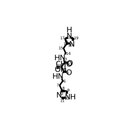 O=C(CC(=O)NCCc1c[nH]cn1)NCCc1c[nH]cn1.O=CO